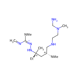 C=N/C(=N\N[C@@](C)(CC)C[C@H](CNCCN(C)CN)NC)NC